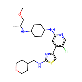 COC[C@@H](C)NC1CCC(Nc2cc(-c3csc(NCC4CCOCC4)n3)c(Cl)cn2)CC1